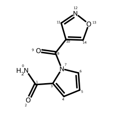 NC(=O)c1cccn1C(=O)c1cnoc1